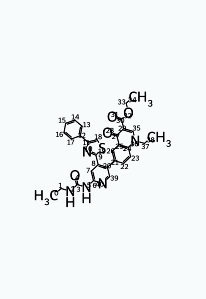 CCNC(=O)Nc1cc(-c2nc(-c3ccccc3)cs2)c(-c2ccc3c(c2)c(=O)c(C(=O)OCC)cn3CC)cn1